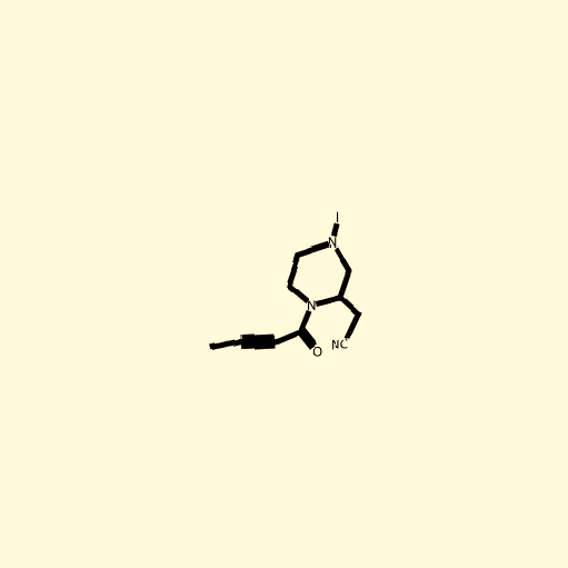 CC#CC(=O)N1CCN(I)CC1CC#N